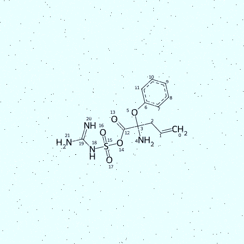 C=CCC(N)(Oc1ccccc1)C(=O)OS(=O)(=O)NC(=N)N